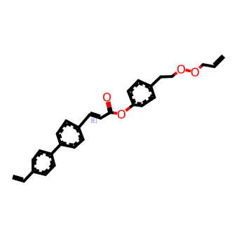 C=CCOOCCc1ccc(OC(=O)/C=C/c2ccc(-c3ccc(C=C)cc3)cc2)cc1